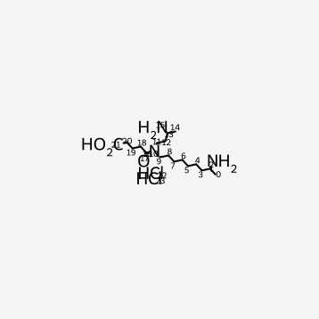 CC(N)CCCCCCCN(CCC(C)N)C(=O)CCCC(=O)O.Cl.Cl